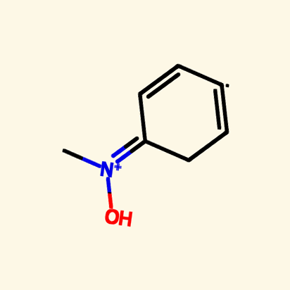 C[N+](O)=C1C=C[C]=CC1